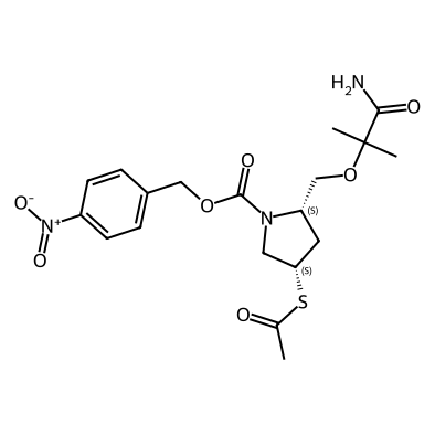 CC(=O)S[C@H]1C[C@@H](COC(C)(C)C(N)=O)N(C(=O)OCc2ccc([N+](=O)[O-])cc2)C1